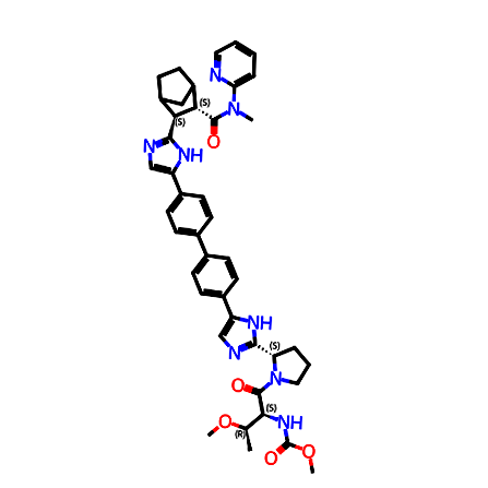 COC(=O)N[C@H](C(=O)N1CCC[C@H]1c1ncc(-c2ccc(-c3ccc(-c4cnc([C@H]5C6CCC(C6)[C@@H]5C(=O)N(C)c5ccccn5)[nH]4)cc3)cc2)[nH]1)[C@@H](C)OC